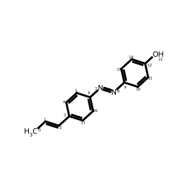 CC=Cc1ccc(N=Nc2ccc(O)cc2)cc1